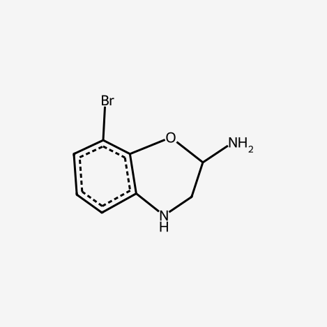 NC1CNc2cccc(Br)c2O1